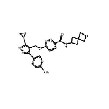 Cc1ccc(-c2noc(C3CC3)c2COc2ccc(C(=O)NC3CC4(COC4)C3)nn2)cn1